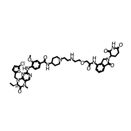 CC[C@@H]1C(=O)N(C)c2cnc(Nc3ccc(C(=O)NC4CCN(CCNCCOCC(=O)Nc5cccc6c5CN(C5CCC(=O)NC5=O)C6=O)CC4)cc3OC)nc2N1Cc1ccc(Cl)s1